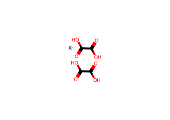 O=C(O)C(=O)O.O=C(O)C(=O)O.[K]